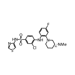 CN[C@@H]1CCCN(c2cc(F)ccc2Nc2ccc(S(=O)(=O)Nc3cscn3)cc2Cl)C1